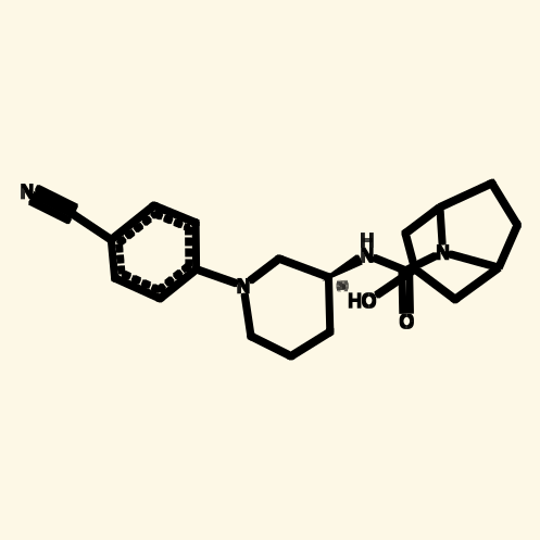 N#Cc1ccc(N2CCC[C@H](NC(=O)N3C4CCC3CC(O)C4)C2)cc1